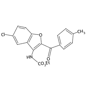 CCOC(=O)Nc1c(C(=O)c2ccc(C)cc2)oc2ccc(Cl)cc12